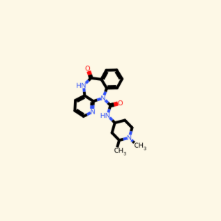 CC1CC(NC(=O)N2c3ccccc3C(=O)Nc3cccnc32)CCN1C